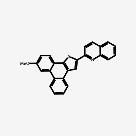 COc1ccc2c(c1)c1ccccc1c1cc(-c3ccc4ccccc4n3)sc21